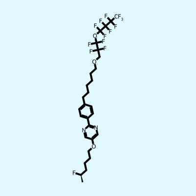 C[C@@H](F)CCCCOc1cnc(-c2ccc(CCCCCCOCC(F)(F)C(F)(F)OC(F)(F)C(F)(F)C(F)(F)C(F)(F)F)cc2)nc1